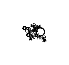 CC(C)n1c(O[C@@H]2C[C@H]3C(=O)N[C@]4(C(=O)NS(=O)(=O)N(C)C)C[C@H]4/C=C\CCCCC[C@H](NC(=O)OC(C)(C)C)C(=O)N3C2)nc2c(NC(=O)OCc3ccccc3)cccc21